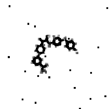 CC(C(=O)Nc1ccc(Oc2ccc(F)cc2)cn1)N1CCN(c2cccc(C(N)=O)c2)CC1